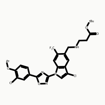 CC(C)Oc1ccc(-c2nc(-n3cc(Cl)c4cc(CNCCC(=O)OC(C)(C)C)c(C(F)(F)F)cc43)no2)cc1Cl